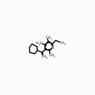 C=C(c1c(C)nc(CC)c(C)c1C)C1CCCCC1